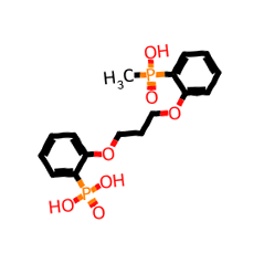 CP(=O)(O)c1ccccc1OCCCOc1ccccc1P(=O)(O)O